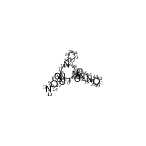 C=C1CN(S(=O)(=O)c2ccc(N(C)C)cc2)CCCN(CC2CCCCC2)CCCN(S(=O)(=O)N2CCN(c3ccccc3)CC2)C1